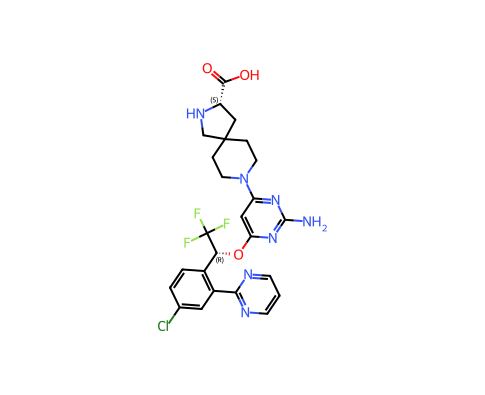 Nc1nc(O[C@H](c2ccc(Cl)cc2-c2ncccn2)C(F)(F)F)cc(N2CCC3(CC2)CN[C@H](C(=O)O)C3)n1